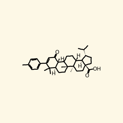 Cc1ccc(C2=CC(=O)[C@]3(C)[C@H]4CC[C@@H]5[C@H]6[C@H](C(C)C)CC[C@]6(C(=O)O)CC[C@@]5(C)[C@]4(C)CC[C@H]3C2(C)C)cc1